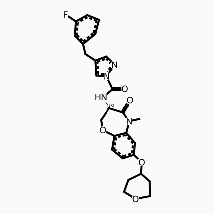 CN1C(=O)[C@@H](NC(=O)n2cc(Cc3cccc(F)c3)cn2)COc2ccc(OC3CCOCC3)cc21